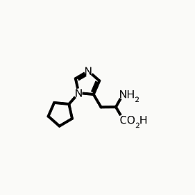 NC(Cc1cncn1C1CCCC1)C(=O)O